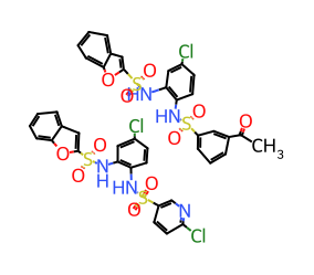 CC(=O)c1cccc(S(=O)(=O)Nc2ccc(Cl)cc2NS(=O)(=O)c2cc3ccccc3o2)c1.O=S(=O)(Nc1ccc(Cl)cc1NS(=O)(=O)c1cc2ccccc2o1)c1ccc(Cl)nc1